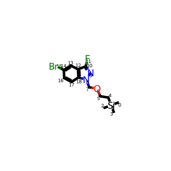 C[Si](C)(C)CCOCn1nc(F)c2cc(Br)ccc21